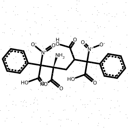 N[C@@](CC(C(=O)O)C(C(=O)O)(c1ccccc1)[N+](=O)[O-])(C(=O)O)C(C(=O)O)(c1ccccc1)[N+](=O)[O-]